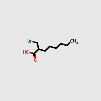 CCCCCCC(CBr)C(=O)O